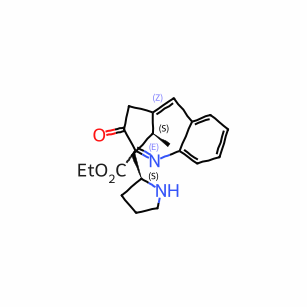 CCOC(=O)/C1=N/c2ccccc2/C=C(\[C@@H](C)C[C@@H]2CCCN2)CC1=O